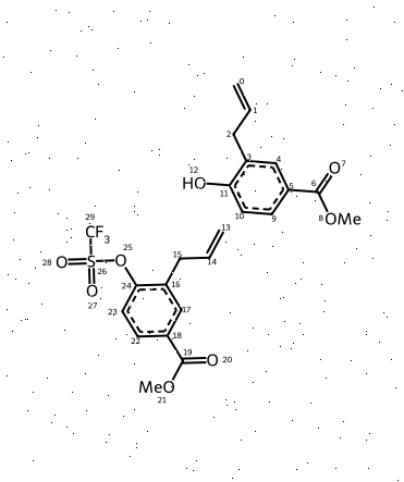 C=CCc1cc(C(=O)OC)ccc1O.C=CCc1cc(C(=O)OC)ccc1OS(=O)(=O)C(F)(F)F